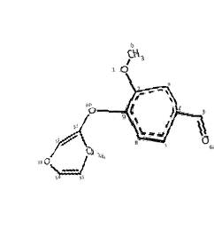 COc1cc(C=O)ccc1OC1=COC=CO1